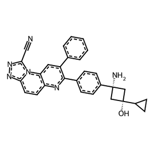 N#Cc1nnc2ccc3nc(-c4ccc([C@]5(N)C[C@](O)(C6CC6)C5)cc4)c(-c4ccccc4)cc3n12